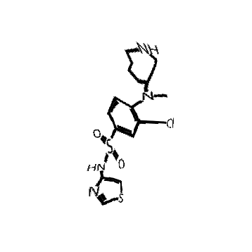 CN(c1ccc(S(=O)(=O)Nc2cscn2)cc1Cl)C1CCNC1